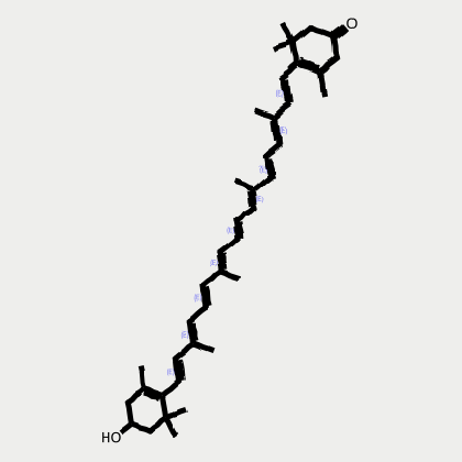 CC1=C(/C=C/C(C)=C/C=C/C(C)=C/C=C/C=C(C)/C=C/C=C(C)/C=C/C2=C(C)CC(O)CC2(C)C)C(C)(C)CC(=O)C1